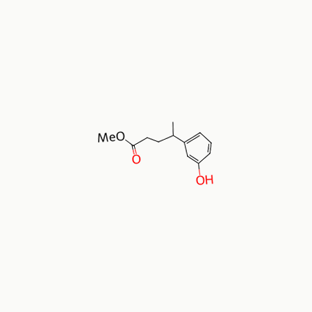 COC(=O)CCC(C)c1cccc(O)c1